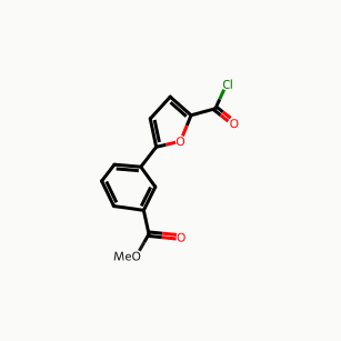 COC(=O)c1cccc(-c2ccc(C(=O)Cl)o2)c1